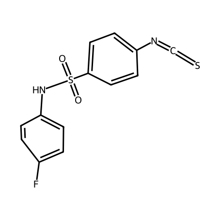 O=S(=O)(Nc1ccc(F)cc1)c1ccc(N=C=S)cc1